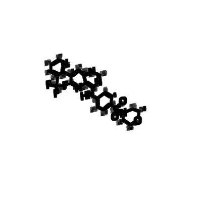 O=S(=O)(c1ccc(Nc2ncnc3cc(-c4ncccc4C(F)(F)F)cnc23)cc1)N1CCOCC1